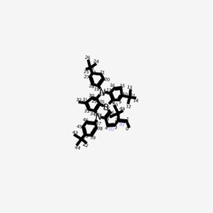 C/C=C(\C=C/C1=CB2c3cc(C(C)(C)C)ccc3N(C3=CCC(C(C)(C)C)C=C3)c3cc(C)cc(c32)N1c1ccc(C(C)(C)C)cc1)C(C)(C)C